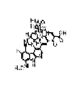 CNc1cc(F)c(C#N)c2c1[nH]c1ncc(-c3cnc4c(c3)c(=O)c(C(=O)O)cn4C)c(N3CC[C@H]4C[N+](C)(COP(=O)(O)O)C[C@H]43)c12